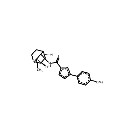 COc1ccc(-c2ccc(C(=O)N[C@@H]3C4CCN(CC4)[C@H]3C)s2)cc1